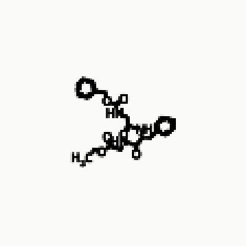 CCOC(=O)CNC(=O)[C@H](Cc1ccccc1)NC(=O)CNC(=O)OCc1ccccc1